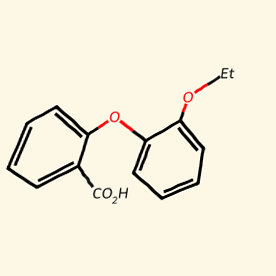 CCOc1ccccc1Oc1ccccc1C(=O)O